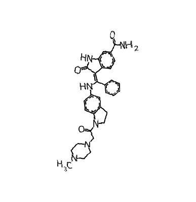 CN1CCN(CC(=O)N2CCc3cc(N/C(=C4\C(=O)Nc5cc(C(N)=O)ccc54)c4ccccc4)ccc32)CC1